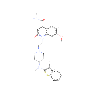 CNC(=O)c1cc(=O)n(CCN2CCC(N(C)c3sc4ccccc4c3C)CC2)c2cc(OC)ccc12